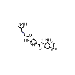 Nc1cc(C(F)(F)F)ccc1NC(=O)c1ccc(NC(=O)C/C=C/c2cn[nH]c2)cn1